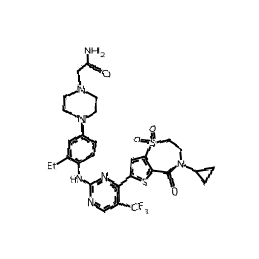 CCc1cc(N2CCN(CC(N)=O)CC2)ccc1Nc1ncc(C(F)(F)F)c(-c2cc3c(s2)C(=O)N(C2CC2)CCS3(=O)=O)n1